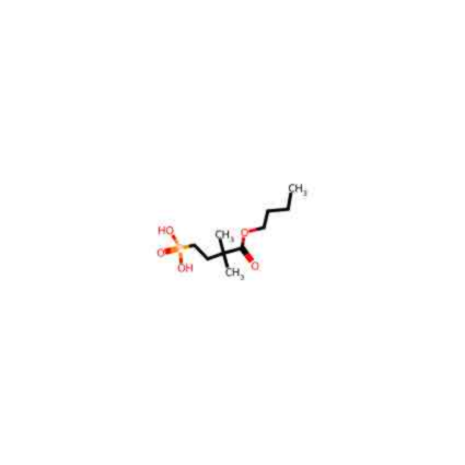 CCCCOC(=O)C(C)(C)CCP(=O)(O)O